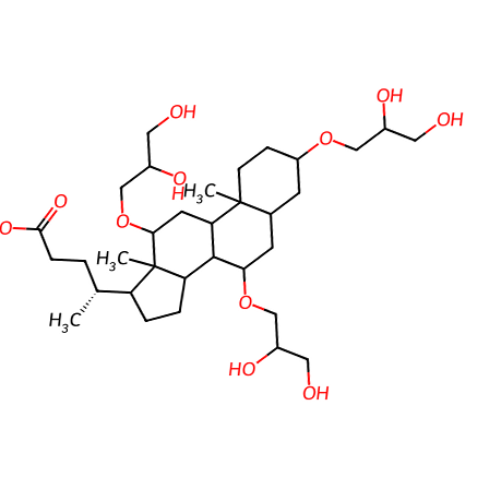 C[C@H](CCC(=O)O)C1CCC2C3C(OCC(O)CO)CC4CC(OCC(O)CO)CCC4(C)C3CC(OCC(O)CO)C21C